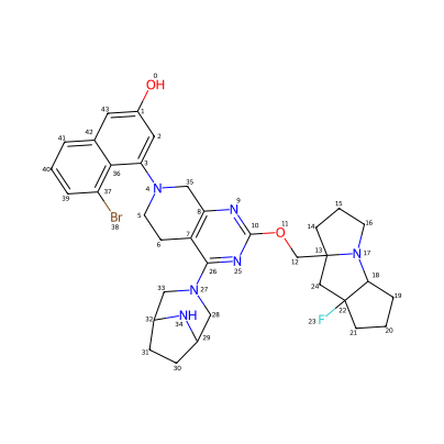 Oc1cc(N2CCc3c(nc(OCC45CCCN4C4CCCC4(F)C5)nc3N3CC4CCC(C3)N4)C2)c2c(Br)cccc2c1